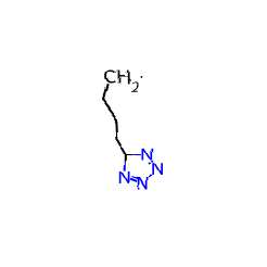 [CH2]CCCC1N=NN=N1